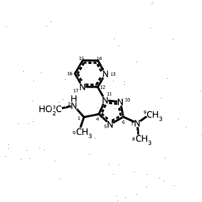 CC(NC(=O)O)c1nc(N(C)C)nn1-c1ncccn1